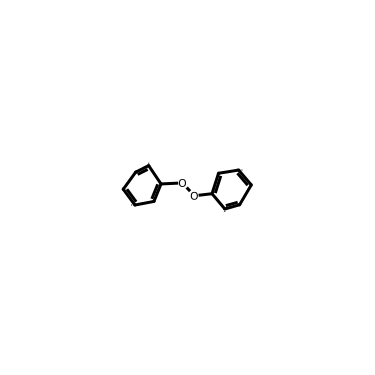 [c]1cc[c]c(OOc2[c]cc[c]c2)c1